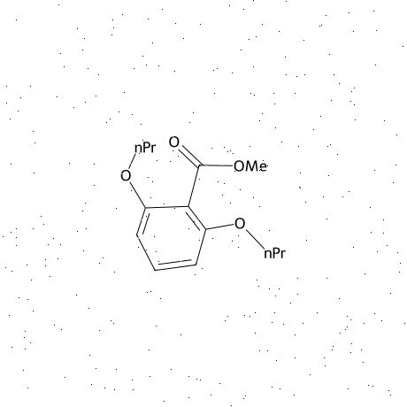 CCCOc1cccc(OCCC)c1C(=O)OC